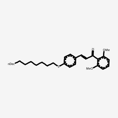 CCCCCCCCCCCCCCCCCSc1ccc(C=CC(=O)c2c(OC)cccc2OC)cc1